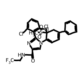 CS(=O)(=O)C1(Cl)CC(c2ccccc2)=CC=C1n1cc(C(=O)NCC(F)(F)F)nc1-c1c(Cl)cccc1Cl